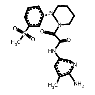 Cc1cc(NC(=O)C(=O)N2CCCC[C@H]2c2cccc(S(C)(=O)=O)c2)cnc1N